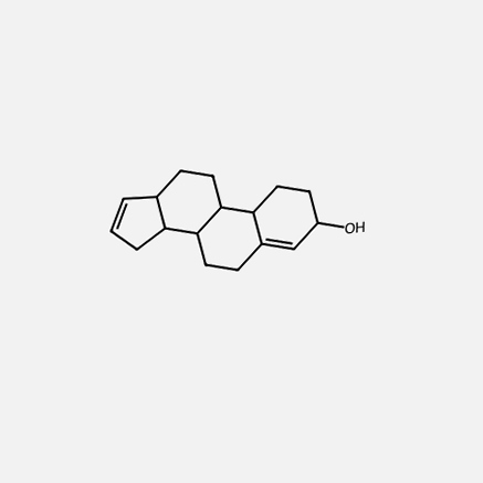 OC1C=C2CCC3C4CC=CC4CCC3C2CC1